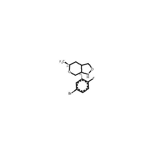 Fc1ccc(Br)cc1[C@]12CO[C@@H](C(F)(F)F)CC1CON2